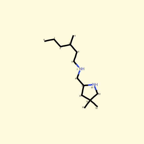 CCCC(C)CCNCC1CC(C)(C)CN1